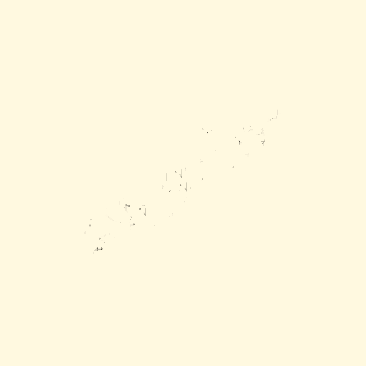 N#CC1C(CC[N+](N)([O-])C2CCN(S(=O)(=O)c3cccc(Cl)c3)CC2)CCN1OC(=O)C(F)(F)F